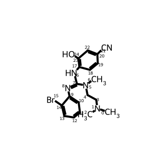 CN(C)CCN(C)C(=Nc1ccccc1Br)Nc1ccc(C#N)cc1O